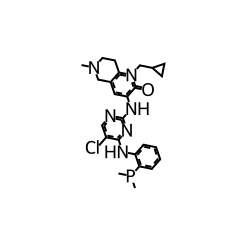 CN1CCc2c(cc(Nc3ncc(Cl)c(Nc4ccccc4P(C)C)n3)c(=O)n2CC2CC2)C1